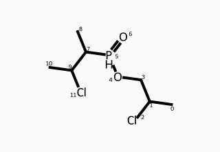 CC(Cl)CO[PH](=O)C(C)C(C)Cl